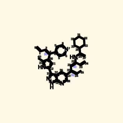 C=C/C=C(/c1ccncc1)c1cc(-c2n[nH]c3ncc(C(/C=C(\C=C)NC(=C)C4CCCCC4)=C/C)cc23)[nH]c1C